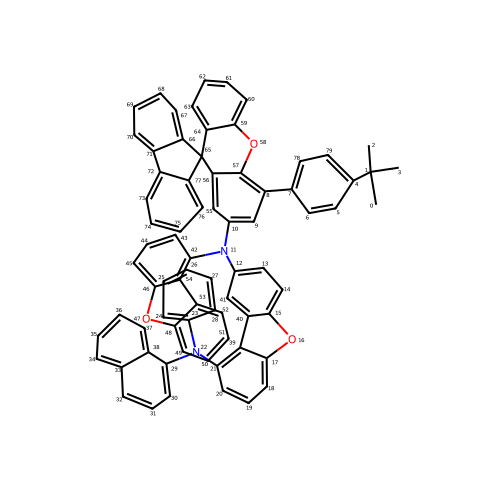 CC(C)(C)c1ccc(-c2cc(N(c3ccc4oc5cccc(N(c6ccccc6)c6cccc7ccccc67)c5c4c3)c3cccc4oc5ccccc5c34)cc3c2Oc2ccccc2C32c3ccccc3-c3ccccc32)cc1